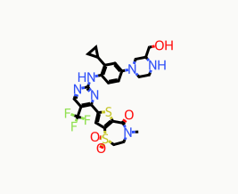 CN1CCS(=O)(=O)c2cc(-c3nc(Nc4ccc(N5CCNC(CO)C5)cc4C4CC4)ncc3C(F)(F)F)sc2C1=O